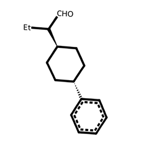 CCC(C=O)[C@H]1CC[C@H](c2ccccc2)CC1